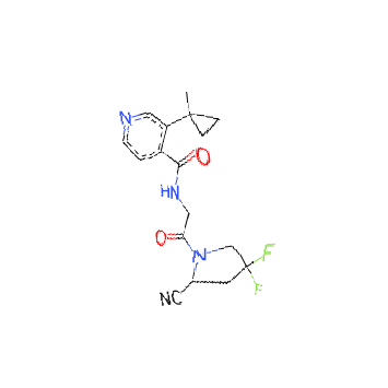 CC1(c2cnccc2C(=O)NCC(=O)N2CC(F)(F)CC2C#N)CC1